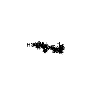 CC(Cc1c2c(c(NC(=O)N=S(N)(=O)c3sc(C(C)(C)O)cc3F)c3c1CC3)CCC2)c1csc(S(N)(=O)=NC(=O)Nc2c3c(cc4c2CCC4)CCC3)c1